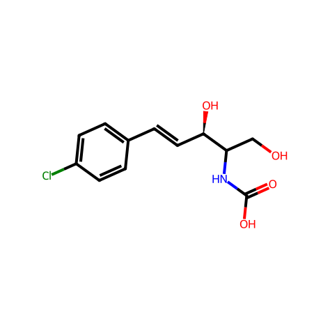 O=C(O)NC(CO)[C@H](O)/C=C/c1ccc(Cl)cc1